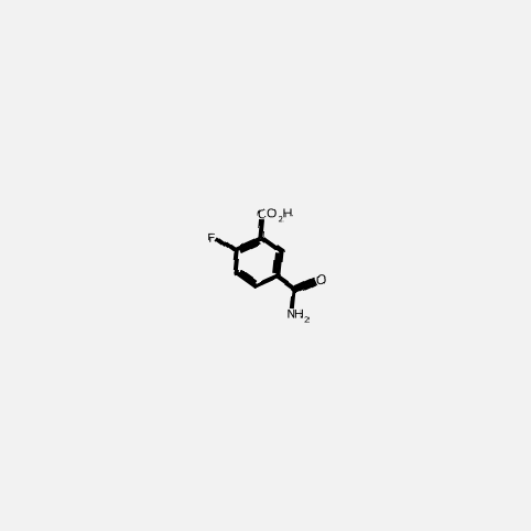 NC(=O)c1ccc(F)c(C(=O)O)c1